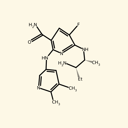 CC[C@H](N)[C@@H](C)Nc1nc(Nc2cnc(C)c(C)c2)c(C(N)=O)cc1F